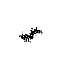 C#C/C=C\C(=C(/C)Cl)[C@@H](C)OC(=O)Nc1c(-c2ccc3c(c2)N(C)CC(=O)N3)nnn1C